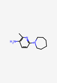 Cc1nc(N2CCCCCC2)ccc1N